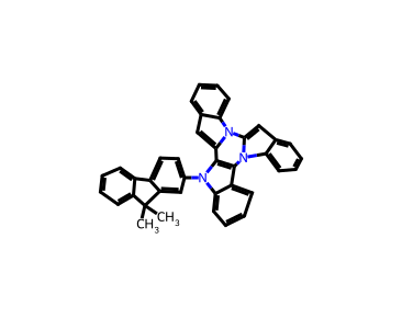 CC1(C)c2ccccc2-c2ccc(-n3c4ccccc4c4c3c3cc5ccccc5n3c3cc5ccccc5n43)cc21